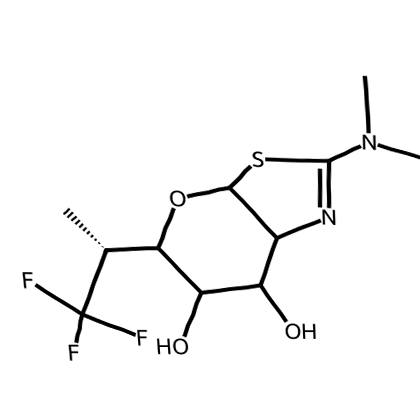 C[C@H](C1OC2SC(N(C)C)=NC2C(O)C1O)C(F)(F)F